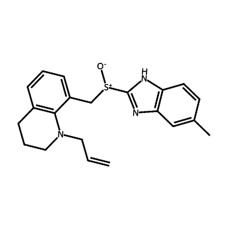 C=CCN1CCCc2cccc(C[S+]([O-])c3nc4cc(C)ccc4[nH]3)c21